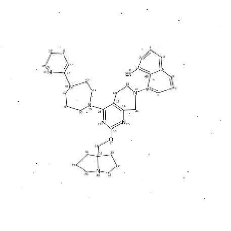 CCc1cccc2cccc(N3CCc4c(nc(OCC56CCCN5CCC6)nc4N4CCCN(c5ccccn5)CC4)C3)c12